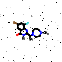 CCCC(c1nc2c(F)cc(Br)cc2c(=O)n1CC)N1CCCN(C)CC1